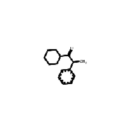 CC(C(=O)C1CCCCC1)c1ccccc1